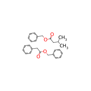 CC(C)CC(=O)OCc1ccccc1.O=C(Cc1ccccc1)OCc1ccccc1